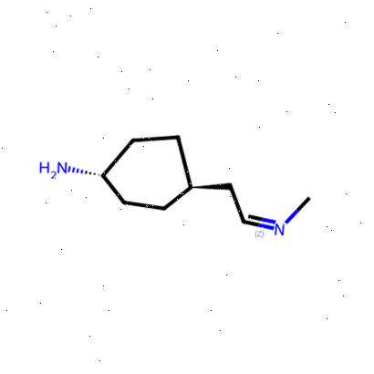 C/N=C\C[C@H]1CC[C@H](N)CC1